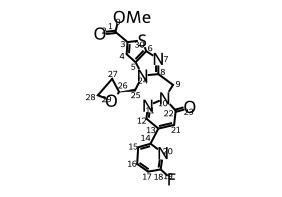 COC(=O)c1cc2c(nc(Cn3ncc(-c4cccc(F)n4)cc3=O)n2C[C@@H]2CCO2)s1